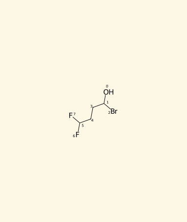 OC(Br)CCC(F)F